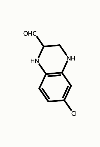 O=CC1CNc2cc(Cl)ccc2N1